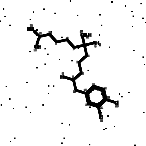 CCN(CCCC(N)(CCCCB(O)O)C(=O)O)Cc1ccc(Cl)c(Cl)c1